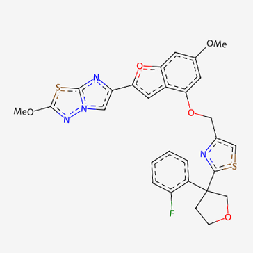 COc1cc(OCc2csc(C3(c4ccccc4F)CCOC3)n2)c2cc(-c3cn4nc(OC)sc4n3)oc2c1